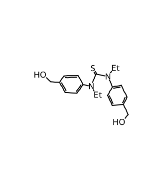 CCN(C(=S)N(CC)c1ccc(CO)cc1)c1ccc(CO)cc1